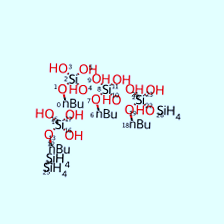 CCCCO[Si](O)(O)O.CCCCO[Si](O)(O)O.CCCCO[Si](O)(O)O.CCCCO[Si](O)(O)O.[SiH4].[SiH4].[SiH4]